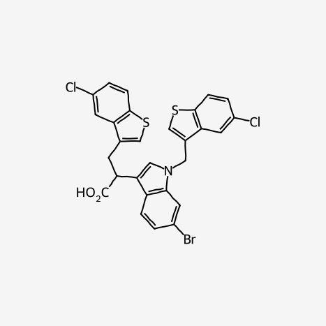 O=C(O)C(Cc1csc2ccc(Cl)cc12)c1cn(Cc2csc3ccc(Cl)cc23)c2cc(Br)ccc12